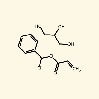 C=CC(=O)OC(C)c1ccccc1.OCC(O)CO